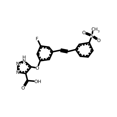 CS(=O)(=O)c1cccc(C#Cc2cc(F)cc(Oc3[nH]nnc3C(=O)O)c2)c1